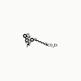 CCOC(=O)COCCCCCCCOc1cc(F)c([C@@H]2c3[nH]c4ccccc4c3C[C@@H](C)N2CC(C)(C)F)c(F)c1